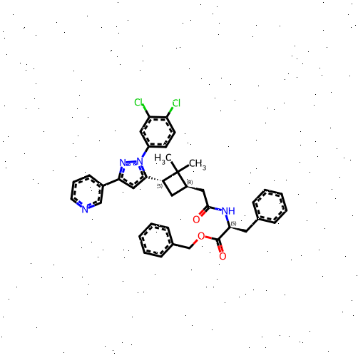 CC1(C)[C@@H](CC(=O)N[C@@H](Cc2ccccc2)C(=O)OCc2ccccc2)C[C@@H]1c1cc(-c2cccnc2)nn1-c1ccc(Cl)c(Cl)c1